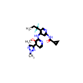 CCC(F)(F)c1cnc(NC(=O)C2CC2)cc1Nc1nccc(-c2cnn(C)n2)c1OC